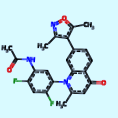 CC(=O)Nc1cc(-n2c(C)cc(=O)c3ccc(-c4c(C)noc4C)cc32)c(F)cc1F